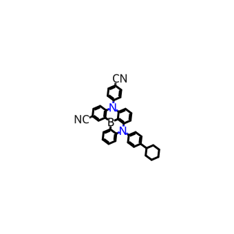 N#Cc1ccc(N2c3ccc(C#N)cc3B3c4ccccc4N(c4ccc(C5CCCCC5)cc4)c4cccc2c43)cc1